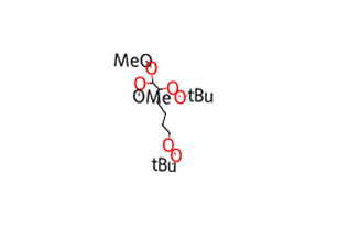 COOC(OOC)C(CCCCOOC(C)(C)C)OOC(C)(C)C